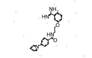 N=C(N)c1cccc(OCCNC(=O)c2ccc(-n3cccc3)cc2)c1